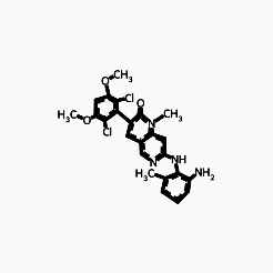 COc1cc(OC)c(Cl)c(-c2cc3cnc(Nc4c(C)cccc4N)cc3n(C)c2=O)c1Cl